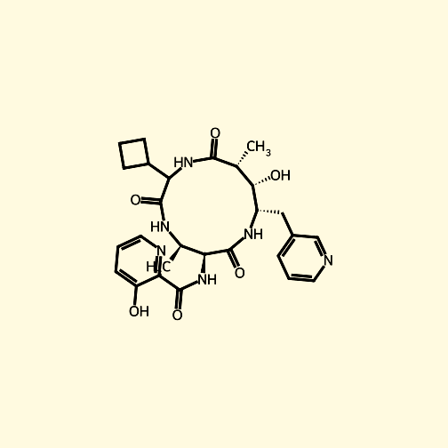 C[C@H]1NC(=O)C(C2CCC2)NC(=O)[C@H](C)[C@H](O)[C@H](Cc2cccnc2)NC(=O)[C@H]1NC(=O)c1ncccc1O